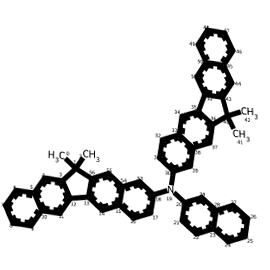 CC1(C)c2cc3ccccc3cc2-c2cc3ccc(N(c4ccc5ccccc5c4)c4ccc5cc6c(cc5c4)C(C)(C)c4cc5ccccc5cc4-6)cc3cc21